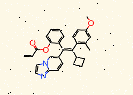 C=CC(=O)Oc1ccccc1/C(=C(\c1ccc(OC)cc1C)C1CCC1)c1ccc2nccn2c1